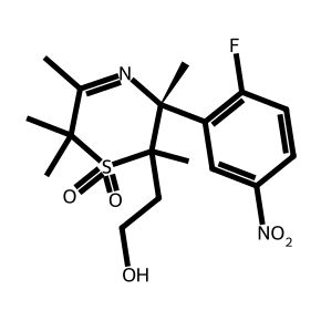 CC1=N[C@](C)(c2cc([N+](=O)[O-])ccc2F)C(C)(CCO)S(=O)(=O)C1(C)C